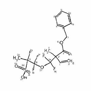 C=CC(C)(C(=O)OCc1ccccc1)C(F)(F)OC(F)(F)C(C)(F)S(=O)(=O)O